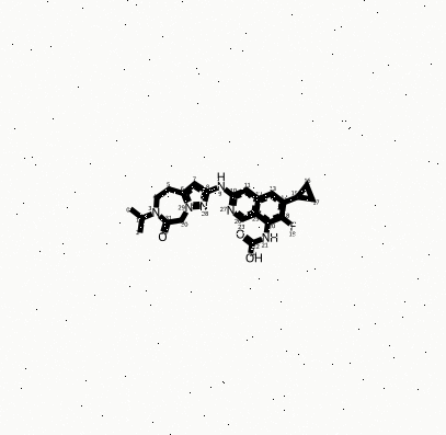 CC(C)N1CCc2cc(Nc3cc4cc(C5CC5)c(F)c(NC(=O)O)c4cn3)nn2CC1=O